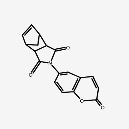 O=C1C2C3C=CC(C3)C2C(=O)N1c1ccc2oc(=O)ccc2c1